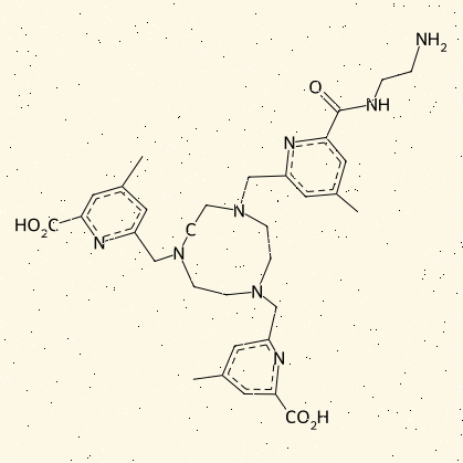 Cc1cc(CN2CCN(Cc3cc(C)cc(C(=O)O)n3)CCN(Cc3cc(C)cc(C(=O)NCCN)n3)CC2)nc(C(=O)O)c1